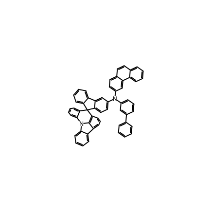 c1ccc(-c2cccc(N(c3ccc4c(c3)-c3ccccc3C43c4ccccc4-n4c5ccccc5c5cccc3c54)c3ccc4ccc5ccccc5c4c3)c2)cc1